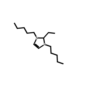 CCCCCN1C=CN(CCCCC)C1CC